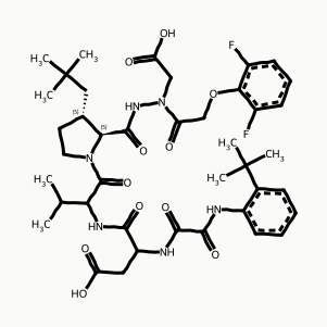 CC(C)C(NC(=O)C(CC(=O)O)NC(=O)C(=O)Nc1ccccc1C(C)(C)C)C(=O)N1CC[C@H](CC(C)(C)C)[C@H]1C(=O)NN(CC(=O)O)C(=O)COc1c(F)cccc1F